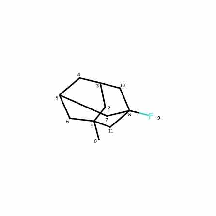 CC12CC3CC(C1)CC(F)(C3)C2